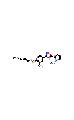 COCCCCOc1ccc(-c2noc([C@@H]3CCCN3C(=O)O)n2)cc1C(F)(F)F